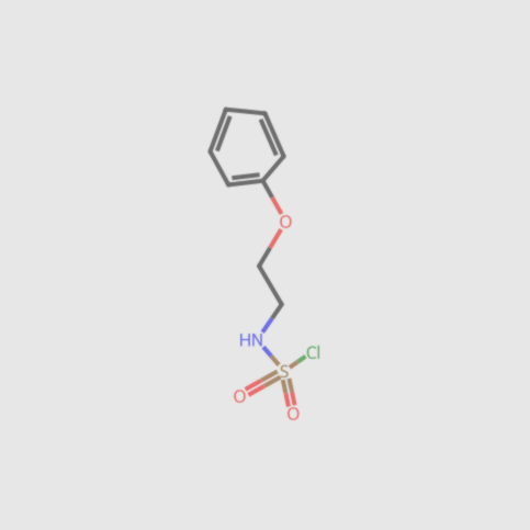 O=S(=O)(Cl)NCCOc1ccccc1